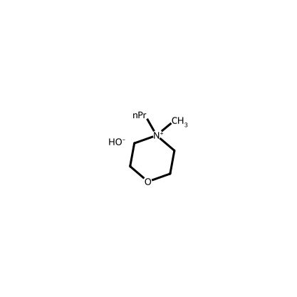 CCC[N+]1(C)CCOCC1.[OH-]